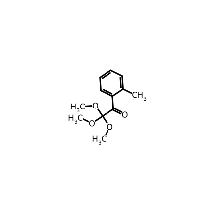 COC(OC)(OC)C(=O)c1ccccc1C